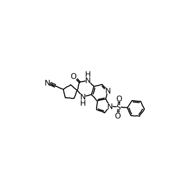 N#CC1CCC2(C1)Nc1c(cnc3c1ccn3S(=O)(=O)c1ccccc1)NC2=O